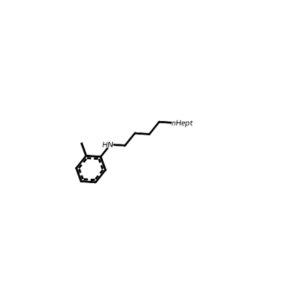 CCCCCCCCCCCNc1ccccc1C